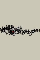 CC(C)(COP(=O)(O)OP(=O)(O)OC[C@H]1O[C@@H](n2cnc3c(N)ncnc32)[C@H](O)[C@@H]1OP(=O)(O)O)[C@@H](O)C(=O)NCCC(=O)NCCSCC(=O)c1ccc(O)cc1